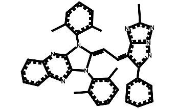 Cc1nc2/c(=C\C=C3N(c4c(C)cccc4C)c4nc5ccccc5nc4N3c3c(C)cccc3C)c(-c3ccccc3)nn2n1